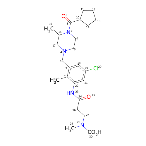 Cc1c(CN2CCN(C(=O)C3CCCC3)C(C)C2)cc(Cl)cc1NC(=O)CCN(C)C(=O)O